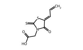 C=CC=C1SC(=S)N(CC(=O)O)C1=O